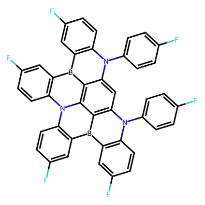 Fc1ccc(N2c3ccc(F)cc3B3c4cc(F)ccc4N4c5ccc(F)cc5B5c6cc(F)ccc6N(c6ccc(F)cc6)c6cc2c3c4c65)cc1